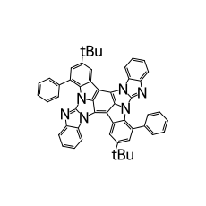 CC(C)(C)c1cc(-c2ccccc2)c2c(c1)c1c3c4c(c5cc(C(C)(C)C)cc(-c6ccccc6)c5n4c4nc5ccccc5n34)c3c1n2c1nc2ccccc2n31